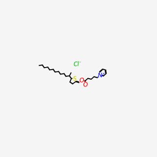 CCCCCCCCCCCC(C)C1CCC(=COC(=O)CCCC[n+]2ccccc2)S1.[Cl-]